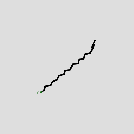 [CH2]C#CCCCCCCCCCCCCCCCCl